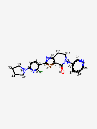 O=C1c2sc(-c3ccc(N4CCCC4)nc3F)nc2CCN1c1cccnc1